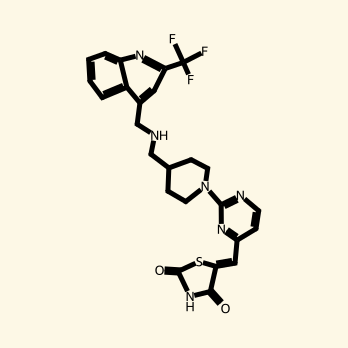 O=C1NC(=O)C(=Cc2ccnc(N3CCC(CNCc4cc(C(F)(F)F)nc5ccccc45)CC3)n2)S1